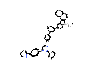 CC1(C)c2ccc(-c3cccc(-c4ccc(-c5cc(-c6ccc(-c7ccccn7)cc6)nc(-c6ccccc6)n5)cc4)c3)cc2-c2c1ccc1ccccc21